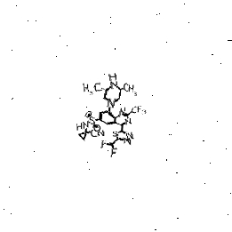 C[C@H]1CN(c2cc(S(=O)(=O)NC3(C#N)CC3)cc3c(-c4nnc(C(F)F)s4)nc(C(F)(F)F)nc23)C[C@H](C)N1